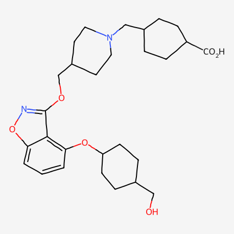 O=C(O)C1CCC(CN2CCC(COc3noc4cccc(OC5CCC(CO)CC5)c34)CC2)CC1